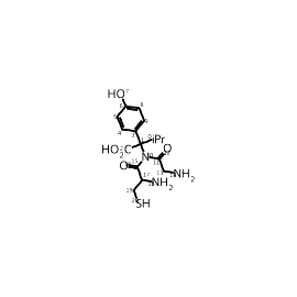 CC(C)C(C(=O)O)(c1ccc(O)cc1)N(C(=O)CN)C(=O)C(N)CS